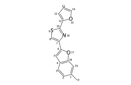 Cc1ccc2cc(-c3csc(-c4ccco4)n3)oc2c1